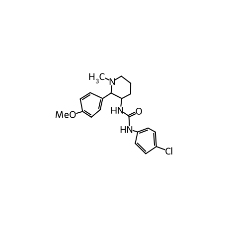 COc1ccc(C2C(NC(=O)Nc3ccc(Cl)cc3)CCCN2C)cc1